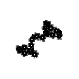 c1ccc(-c2nc(-c3ccc(-c4ccc5sc6ccc(-c7cccc(-c8nc(-c9cccc(-c%10cccc%11oc%12ccccc%12c%10%11)c9)nc(-c9cccc%10c9-c9ccccc9C%109C%10CC%11CC(C%10)C9C%11)n8)c7)cc6c5c4)cc3)nc(-c3cccc4c3-c3ccccc3C43C4CC5CC(C4)CC3C5)n2)cc1